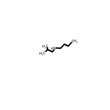 CCCC[SiH]CC(C)C